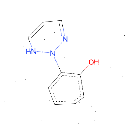 Oc1ccccc1N1N=CC=CN1